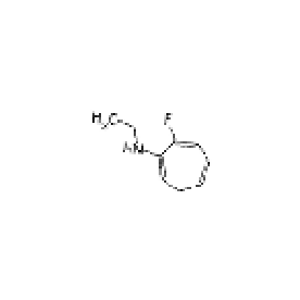 CCNC1=CCC=CC=C1F